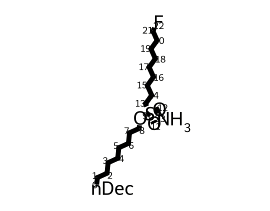 CCCCCCCCCCCCCCCCCCOS(=O)(=O)CCCCCCCCCF.N